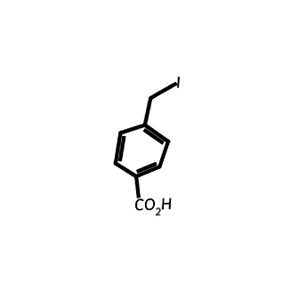 O=C(O)c1ccc(CI)cc1